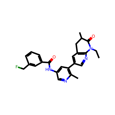 CCN1C(=O)C(C)Cc2cc(-c3cc(NC(=O)c4cccc(CF)c4)cnc3C)cnc21